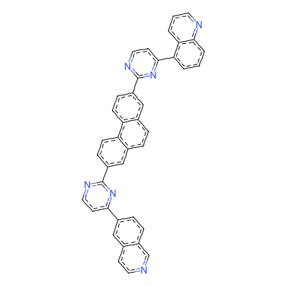 c1cc(-c2ccnc(-c3ccc4c(ccc5cc(-c6nccc(-c7ccc8cnccc8c7)n6)ccc54)c3)n2)c2cccnc2c1